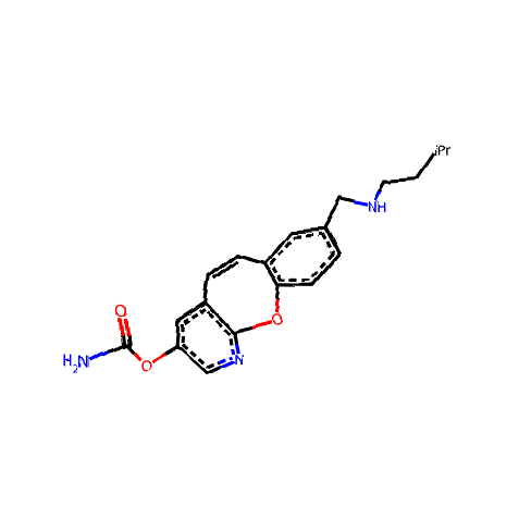 CC(C)CCNCc1ccc2c(c1)C=Cc1cc(OC(N)=O)cnc1O2